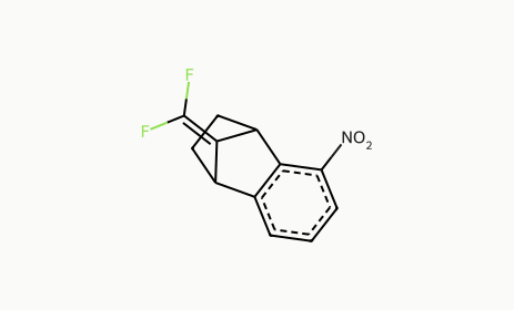 O=[N+]([O-])c1cccc2c1C1CCC2C1=C(F)F